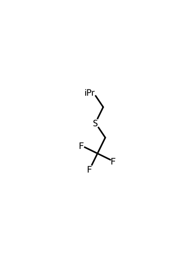 CC(C)CSCC(F)(F)F